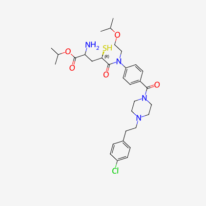 CC(C)OCCN(C(=O)[C@H](S)CC(N)C(=O)OC(C)C)c1ccc(C(=O)N2CCN(CCc3ccc(Cl)cc3)CC2)cc1